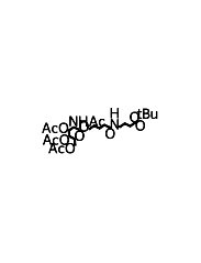 CC(=O)NC1C(OCCCCC(=O)NCCCC(=O)OC(C)(C)C)OC(COC(C)=O)C(OC(C)=O)C1OC(C)=O